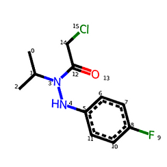 CC(C)N(Nc1ccc(F)cc1)C(=O)CCl